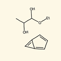 CCOC(O)C(C)O.c1cc2cc-2c1